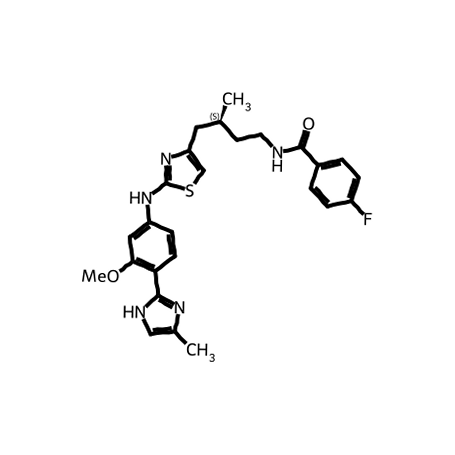 COc1cc(Nc2nc(C[C@@H](C)CCNC(=O)c3ccc(F)cc3)cs2)ccc1-c1nc(C)c[nH]1